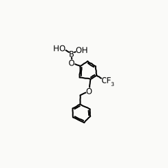 OB(O)Oc1ccc(C(F)(F)F)c(OCc2ccccc2)c1